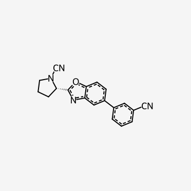 N#Cc1cccc(-c2ccc3oc([C@@H]4CCCN4C#N)nc3c2)c1